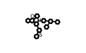 c1ccc(-c2ccc(-c3ccc(N(c4cccc(-c5ccc6sc7ccccc7c6c5)c4)c4cccc5oc6c7ccccc7ccc6c45)cc3)c(-c3ccccc3)c2)cc1